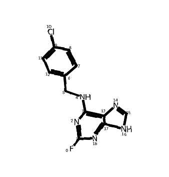 Fc1nc(NCc2ccc(Cl)cc2)c2nc[nH]c2n1